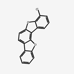 Clc1cccc2c1oc1ccc3c4ccccc4oc3c12